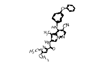 Cc1c(NC(=O)c2cc(C)n(C)n2)cn2ncc(C#N)c(Nc3ccc(Oc4ccccc4)cc3)c12